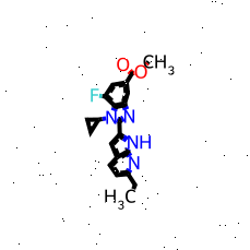 CCc1ccc2cc(-c3nc4cc(C(=O)OC)cc(F)c4n3C3CC3)[nH]c2n1